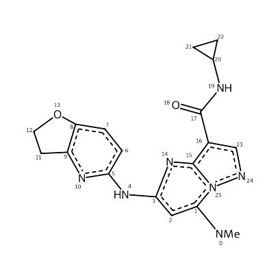 CNc1cc(Nc2ccc3c(n2)CCO3)nc2c(C(=O)NC3CC3)cnn12